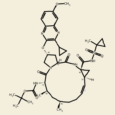 COc1ccc2nc(O[C@@H]3C[C@H]4C(=O)N[C@]5(C(=O)NS(=O)(=O)C6(C)CC6)C[C@H]5/C=C\CC[C@@H](C)C[C@@H](C)[C@H](NC(=O)OC(C)(C)C)C(=O)N4C3)c(C3CC3)nc2c1